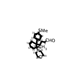 CSc1ccc(C2(CCCC=O)C=CC=CC2(C)N2CCOCC2)cc1